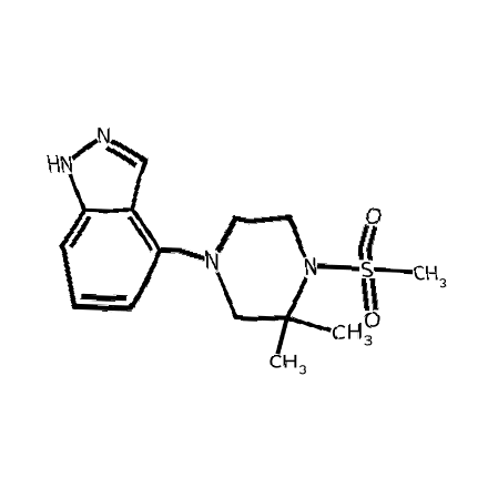 CC1(C)CN(c2cccc3[nH]ncc23)CCN1S(C)(=O)=O